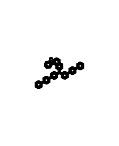 c1ccc(-c2ccc(-c3ccc(N(c4cccc(-c5ccc(-c6ccccc6)cc5)c4)c4ccc5ccc6oc7ccccc7c6c5c4)cc3)cc2)cc1